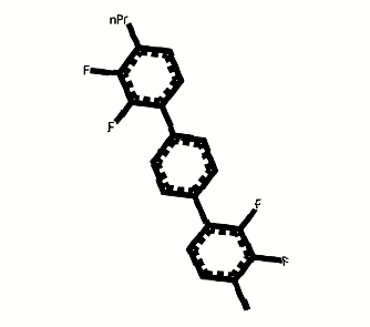 CCCc1ccc(-c2ccc(-c3ccc(C)c(F)c3F)cc2)c(F)c1F